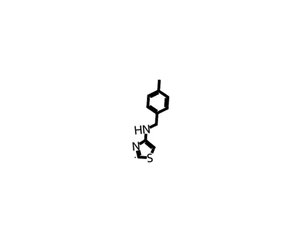 Cc1ccc(CNc2cs[c]n2)cc1